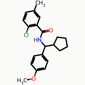 COc1ccc(C(NC(=O)c2cc(C)ccc2Cl)C2CCCC2)cc1